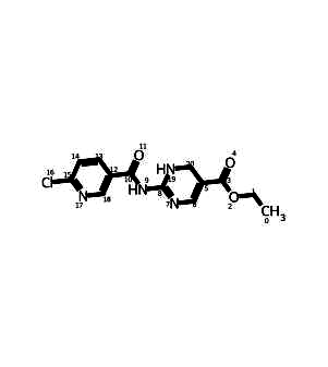 CCOC(=O)C1=CN=C(NC(=O)c2ccc(Cl)nc2)NC1